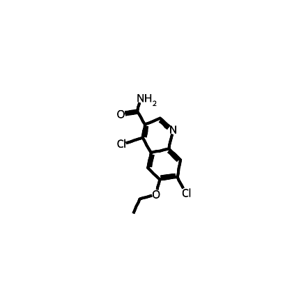 CCOc1cc2c(Cl)c(C(N)=O)cnc2cc1Cl